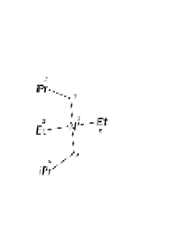 CC[N+](CC)(CC(C)C)CC(C)C